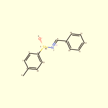 Cc1ccc([S@+]([O-])/N=C/c2ccccc2)cc1